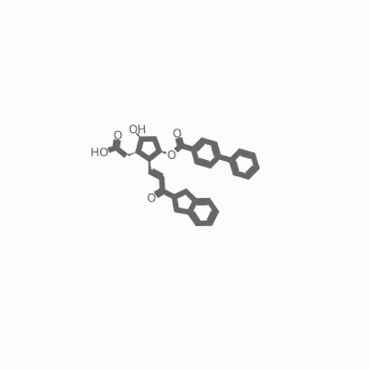 O=C(O)C[C@H]1[C@H](C=CC(=O)C2Cc3ccccc3C2)[C@@H](OC(=O)c2ccc(-c3ccccc3)cc2)C[C@H]1O